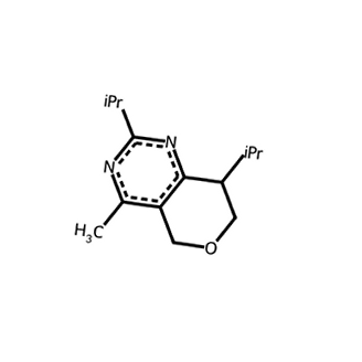 Cc1nc(C(C)C)nc2c1COCC2C(C)C